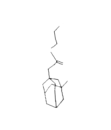 CC12CC3CC(C1)CC(CC(=O)OCCBr)(C3)C2